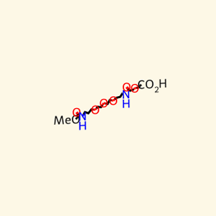 COC(=O)NCCCOCCOCCOCCCNC(=O)COCC(=O)O